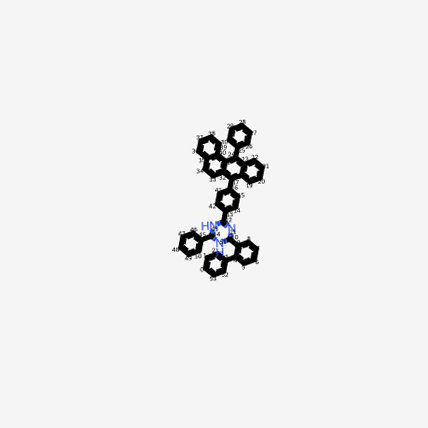 c1ccc(-c2ccccc2C2N=C(c3ccc(-c4c5ccccc5c(-c5ccccc5)c5c4ccc4ccccc45)cc3)NC(c3ccccc3)N2)cc1